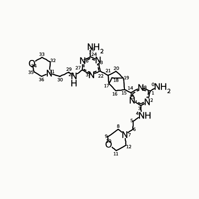 Nc1nc(NCCN2CCOCC2)nc(C2CC3CC2CC3c2nc(N)nc(NCCN3CCOCC3)n2)n1